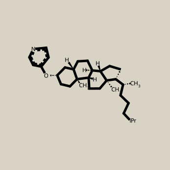 CC(C)CCC[C@@H](C)[C@H]1CC[C@H]2[C@@H]3CC[C@H]4C[C@@H](Oc5ccncc5)CC[C@]4(C)[C@H]3CC[C@]12C